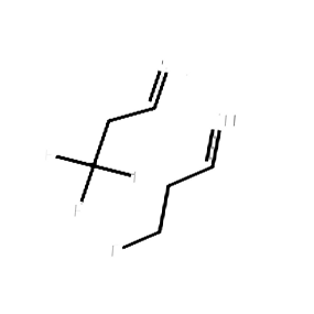 C=CCC(F)(F)F.C=CCCF